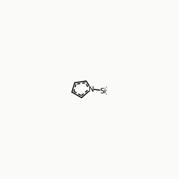 [Si]n1cccc1